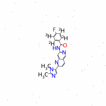 [2H]c1c([2H])c(C(=O)Nc2cc3nc(-c4cnc(C)n4C)ccc3cn2)c([2H])c([2H])c1F